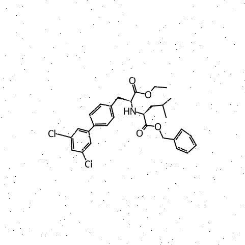 CCOC(=O)[C@H](Cc1ccc(-c2cc(Cl)cc(Cl)c2)cc1)N[C@@H](CC(C)C)C(=O)OCc1ccccc1